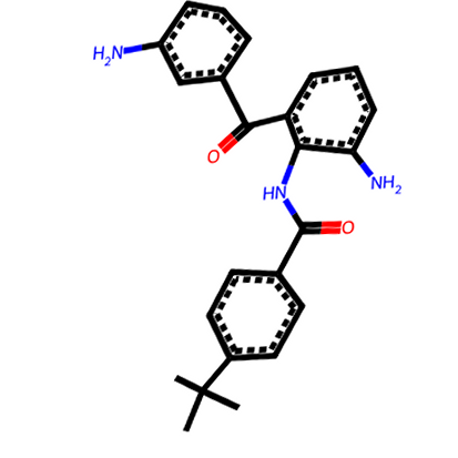 CC(C)(C)c1ccc(C(=O)Nc2c(N)cccc2C(=O)c2cccc(N)c2)cc1